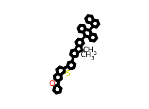 CC1(C)c2cc(-c3ccc4sc5c6cc7c(cc6ccc5c4c3)oc3ccccc37)ccc2-c2ccc(-c3c4ccccc4c(-c4cccc5ccccc45)c4ccccc34)cc21